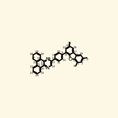 Cc1cc(C)c2oc3c(-c4ccc(-c5cnc6c(n5)c5c(c7ccccc76)CCC=C5)cc4)cc(C)cc3c2c1